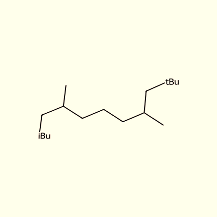 [CH2]CC(C)CC(C)CCCC(C)CC([CH2])(C)C